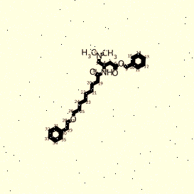 CN(C)CC(CC(=O)OCc1ccccc1)NC(=O)CCCCCCCCOCCc1ccccc1